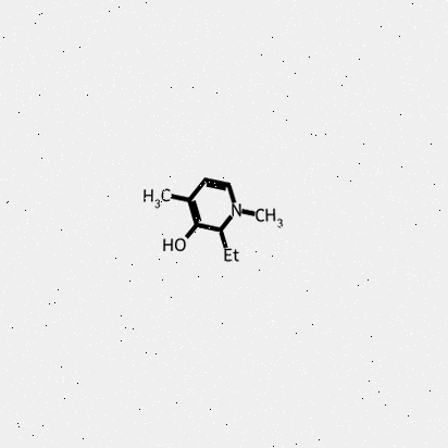 CCC1C(O)=C(C)C=CN1C